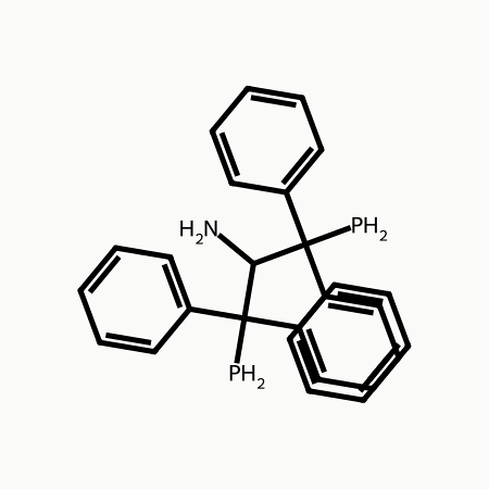 NC(C(P)(c1ccccc1)c1ccccc1)C(P)(c1ccccc1)c1ccccc1